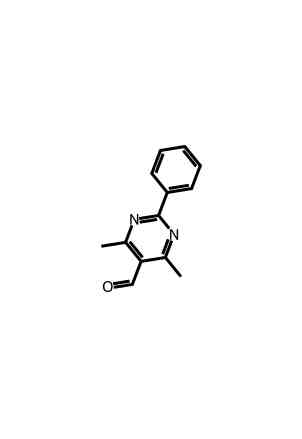 Cc1nc(-c2ccccc2)nc(C)c1C=O